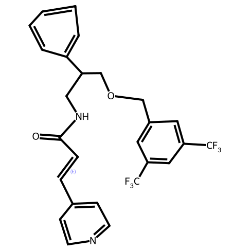 O=C(/C=C/c1ccncc1)NCC(COCc1cc(C(F)(F)F)cc(C(F)(F)F)c1)c1ccccc1